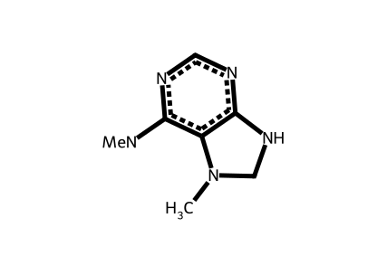 CNc1ncnc2c1N(C)CN2